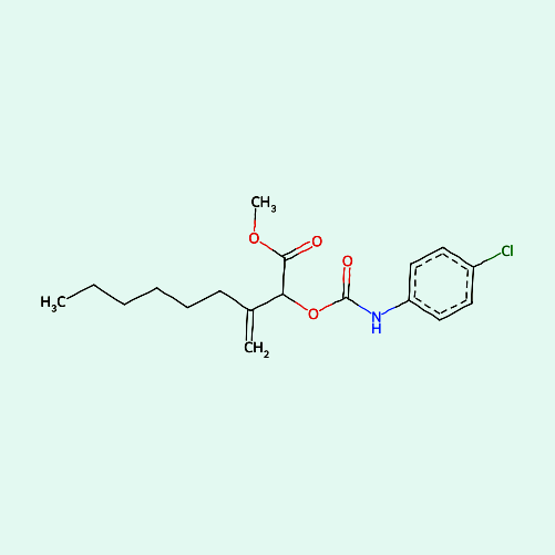 C=C(CCCCCC)C(OC(=O)Nc1ccc(Cl)cc1)C(=O)OC